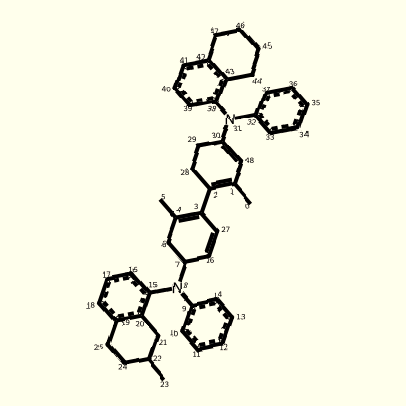 CC1=C(C2=C(C)CC(N(c3ccccc3)c3cccc4c3CC(C)CC4)C=C2)CCC(N(c2ccccc2)c2cccc3c2CCCC3)=C1